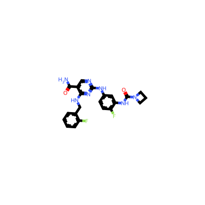 NC(=O)c1cnc(Nc2ccc(F)c(NC(=O)N3CCC3)c2)nc1NCc1ccccc1F